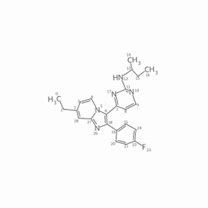 CCc1ccn2c(-c3ccnc(NC(C)CC)n3)c(-c3ccc(F)cc3)nc2c1